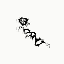 Cc1ccc(-c2ccc(-c3ccc(N(C)[C@H]4C[C@H]5CC[C@@H](C4)N5)nn3)c(O)c2)cn1